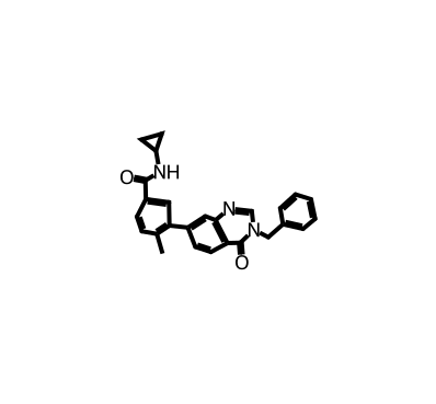 Cc1ccc(C(=O)NC2CC2)cc1-c1ccc2c(=O)n(Cc3ccccc3)cnc2c1